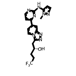 Cn1nccc1Nc1nccc(-c2ccn3c(C[C@H](O)CCC(F)(F)F)nnc3c2)n1